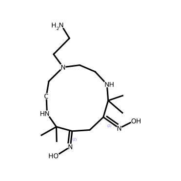 CC1(C)NCCN(CCN)CCNC(C)(C)/C(=N\O)C/C1=N/O